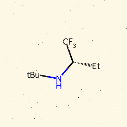 CC[C@H](NC(C)(C)C)C(F)(F)F